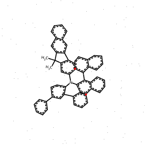 CC1(C)c2cc(N(c3ccc(-c4ccccc4)cc3-c3ccccc3)c3ccc4ccccc4c3-c3cccc4ccccc34)ccc2-c2cc3ccccc3cc21